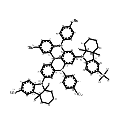 CC(C)(C)c1ccc(N2c3ccc(C(C)(C)C)cc3B3c4ccc(N5c6ccc(C(C)(C)C)cc6C6(C)CCCCC56C)cc4N(c4ccc(C(C)(C)C)cc4)c4cc(N5c6ccc([Si](C)(C)C)cc6C6(C)CCCCC56C)cc2c43)cc1